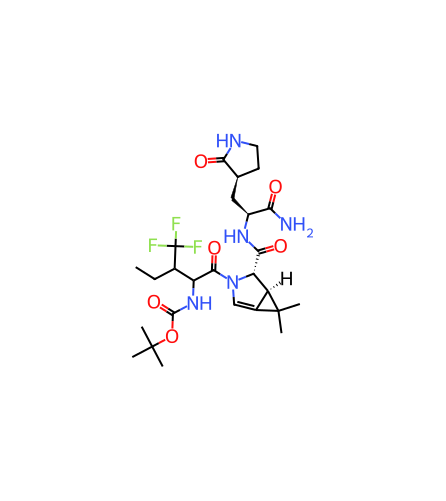 CCC(C(NC(=O)OC(C)(C)C)C(=O)N1C=C2[C@@H]([C@H]1C(=O)N[C@@H](C[C@@H]1CCNC1=O)C(N)=O)C2(C)C)C(F)(F)F